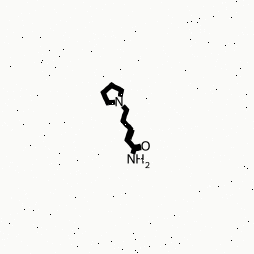 NC(=O)C=CCCN1CCCC1